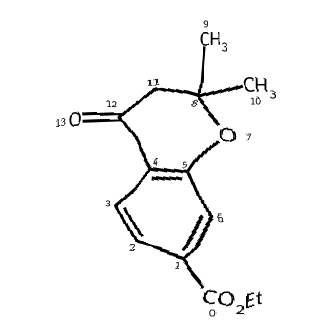 CCOC(=O)c1ccc2c(c1)OC(C)(C)CC2=O